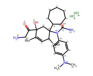 COC1C=C(C(C)(C)C)C(O)(C(=O)CN)CC1(C1CCCCCC1)N(C(N)=O)c1ccc(N(C)C)cc1.Cl.Cl